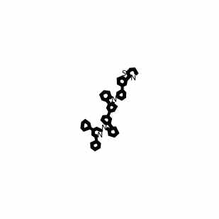 c1ccc(-c2cc(-c3ccccc3)nc(-n3c4ccccc4c4cc(-c5ccc6c(c5)c5ccccc5n6-c5cccc(-c6ccc7sc8cccnc8c7c6)c5)ccc43)c2)cc1